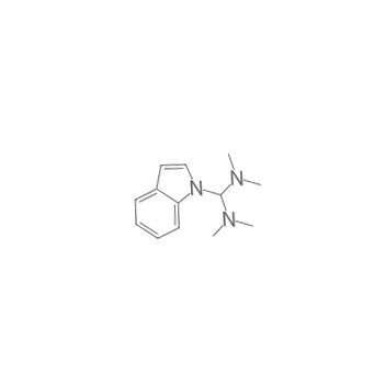 CN(C)C(N(C)C)n1ccc2ccccc21